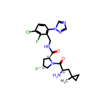 CC1(C[C@@H](N)C(=O)N2C[C@H](F)C[C@H]2C(=O)NCc2c(-n3cncn3)ccc(Cl)c2F)CC1